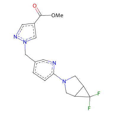 COC(=O)c1cnn(Cc2ccc(N3CC4C(C3)C4(F)F)nc2)c1